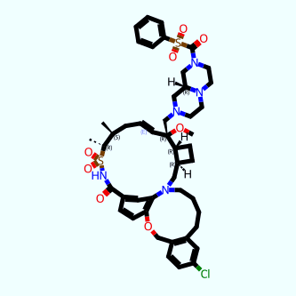 CO[C@@]1(CN2CCN3CCN(C(=O)S(=O)(=O)c4ccccc4)C[C@H]3C2)/C=C/C[C@H](C)[C@@H](C)S(=O)(=O)NC(=O)c2ccc3c(c2)N(CCCCc2cc(Cl)ccc2CO3)C[C@@H]2CC[C@H]21